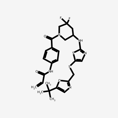 C=CC(=O)Nc1ccc(C(=O)N2CC(Nc3ncc(SCc4ncc(C(C)(C)C)o4)s3)CC(F)(F)C2)cc1